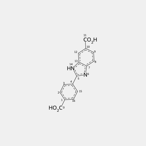 O=C(O)c1ccc(-c2nc3ccc(C(=O)O)cc3[nH]2)cc1